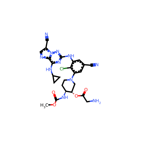 COC(=O)N[C@H]1CCN(c2cc(C#N)cc(Nc3nc(NC4CC4)c4ncc(C#N)n4n3)c2Cl)C[C@@H]1OC(=O)CN